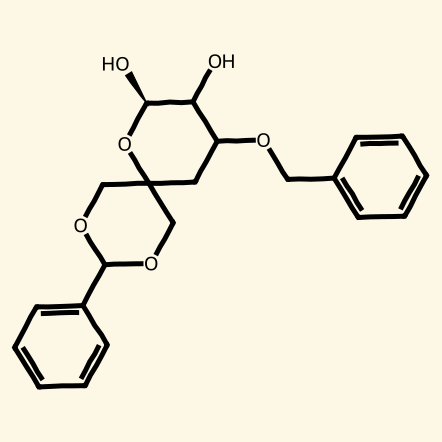 OC1C(OCc2ccccc2)CC2(COC(c3ccccc3)OC2)O[C@H]1O